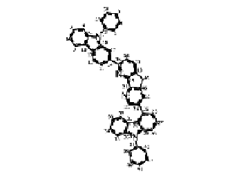 c1ccc(-n2c3ccccc3c3ccc(-c4ccc5c(n4)-c4ncc(-c6cccc7c6c6ccccc6n7-c6ccccc6)cc4C5)cc32)cc1